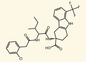 CCC(C)C(NC(=O)Cc1ccccc1Cl)C(=O)N[C@]1(C(=O)O)CCc2[nH]c3c(C(F)(F)F)cccc3c2C1